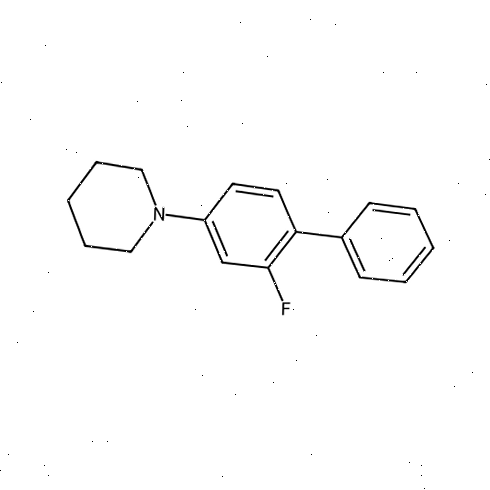 Fc1cc(N2CCCCC2)ccc1-c1ccccc1